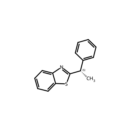 C[C@@H](c1ccccc1)c1nc2ccccc2s1